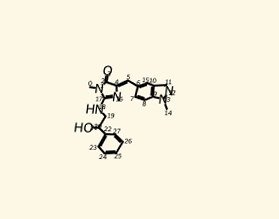 CN1C(=O)/C(=C/c2ccc3c(cnn3C)c2)N=C1NCC(O)c1ccccc1